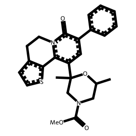 COC(=O)N1CC(C)OC(C)(c2cc(-c3ccccc3)c(=O)n3c2-c2sccc2CC3)C1